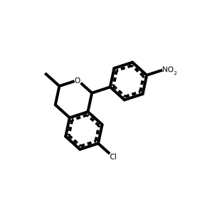 CC1Cc2ccc(Cl)cc2C(c2ccc([N+](=O)[O-])cc2)O1